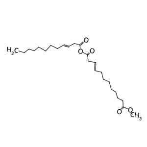 CCCCCCCC/C=C/CC(=O)OC(=O)C/C=C/CCCCCCCC(=O)OC